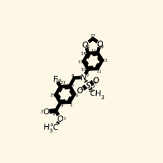 COC(=O)c1ccc(CN(c2ccc3c(c2)OCO3)S(C)(=O)=O)c(F)c1